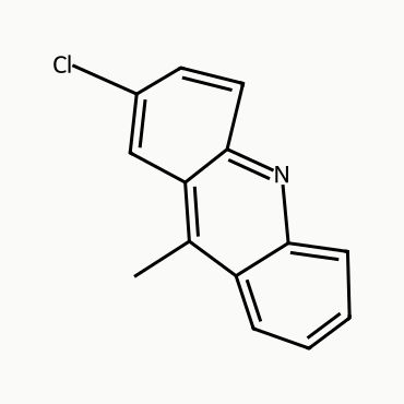 Cc1c2ccccc2nc2ccc(Cl)cc12